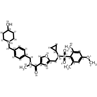 COc1cc(C)c(S(=O)(=O)N(Cc2nc(C(=O)N(C)Cc3ccc(CN4CCC(O)CC4)cc3)co2)C2CC2)c(C)c1